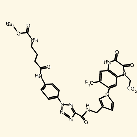 CCOC(=O)Cn1c(=O)c(=O)[nH]c2cc(C(F)(F)F)c(-n3ccc(CNC(=O)c4nnn(-c5ccc(NC(=O)CCCNC(=O)OC(C)(C)C)cc5)n4)c3)cc21